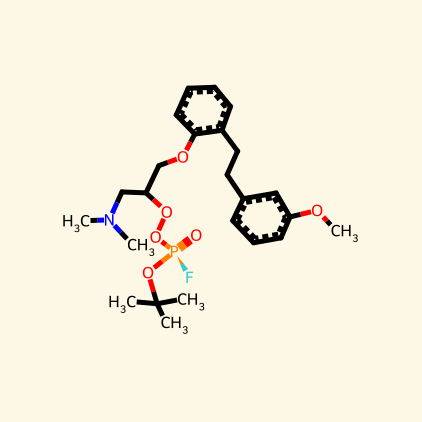 COc1cccc(CCc2ccccc2OCC(CN(C)C)OO[P@@](=O)(F)OC(C)(C)C)c1